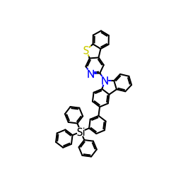 c1ccc([Si](c2ccccc2)(c2ccccc2)c2cccc(-c3ccc4c(c3)c3ccccc3n4-c3cc4c(cn3)sc3ccccc34)c2)cc1